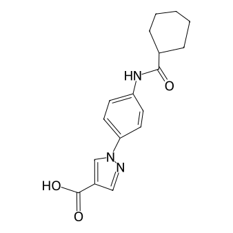 O=C(O)c1cnn(-c2ccc(NC(=O)C3CCCCC3)cc2)c1